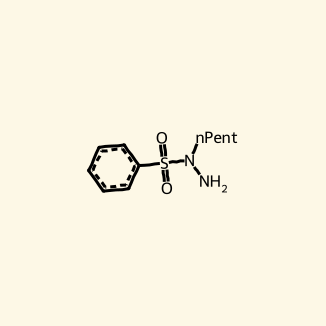 CCCCCN(N)S(=O)(=O)c1ccccc1